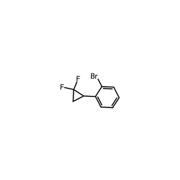 FC1(F)CC1c1ccccc1Br